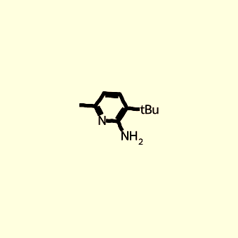 Cc1ccc(C(C)(C)C)c(N)n1